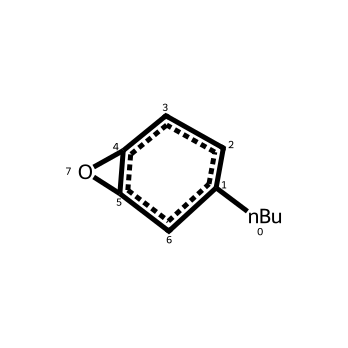 CCCCc1ccc2c(c1)O2